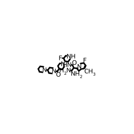 CC1=CC(F)CN2C1CC2C(C(=O)NC1CNCC(F)C1N1CCC(C(=O)N2CCC(N3CCCCC3)CC2)CC1)C(N)N